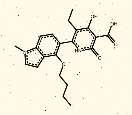 CCCCOc1c(-c2[nH]c(=O)c(C(=O)O)c(O)c2CC)ccc2c1ccn2C